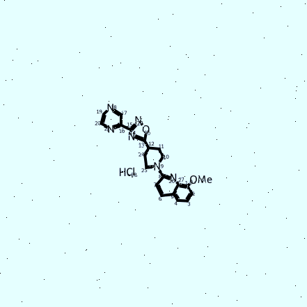 COc1cccc2ccc(N3CCC(c4nc(-c5cnccn5)no4)CC3)nc12.Cl